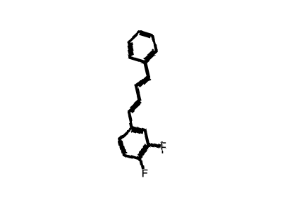 Fc1ccc(/C=C/C=C/c2ccccc2)cc1F